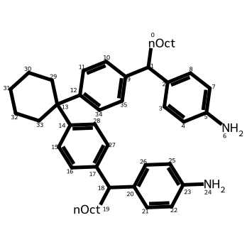 CCCCCCCCC(c1ccc(N)cc1)c1ccc(C2(c3ccc(C(CCCCCCCC)c4ccc(N)cc4)cc3)CCCCC2)cc1